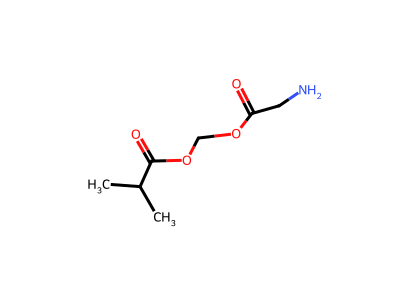 CC(C)C(=O)OCOC(=O)CN